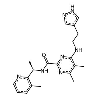 Cc1cccnc1[C@@H](C)NC(=O)c1nc(C)c(C)c(NCCc2cn[nH]c2)n1